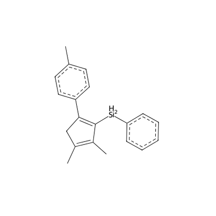 CC1=C(C)C([SiH2]c2ccccc2)=C(c2ccc(C)cc2)C1